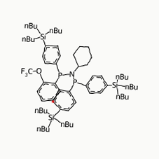 CCCC[Si](CCCC)(CCCC)c1ccc(P(c2ccc([Si](CCCC)(CCCC)CCCC)cc2)N(C2CCCCC2)P(c2ccc([Si](CCCC)(CCCC)CCCC)cc2)c2ccccc2OC(F)(F)F)cc1